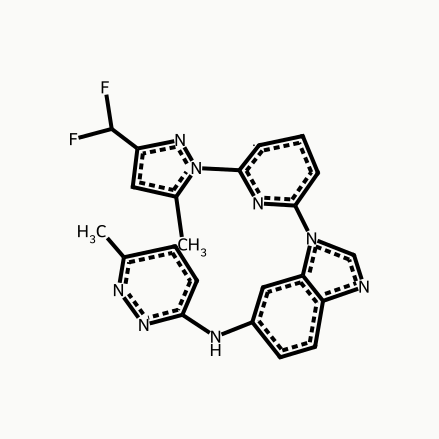 Cc1ccc(Nc2ccc3ncn(-c4cc[c]c(-n5nc(C(F)F)cc5C)n4)c3c2)nn1